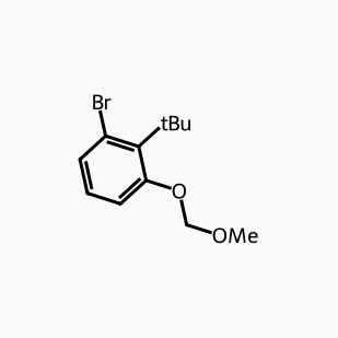 COCOc1cccc(Br)c1C(C)(C)C